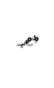 CCc1cccc(Cl)c1COc1ccc2c(c1)CC1(C2)CN(CCC(=O)O)C1.Cl